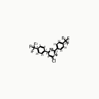 FC(F)(F)c1ccc(-c2cc(Cl)nc(-c3ccc(C(F)(F)F)cc3)n2)cc1